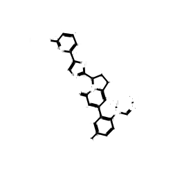 N/N=C\N(N)c1ccc(Cl)cc1-c1cc2n(c(=O)c1)C(c1ncc(-c3cccc(C(=O)O)n3)[nH]1)CC2